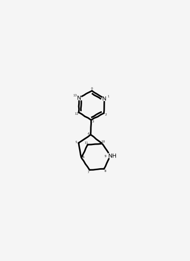 c1ncc(C2CC3CCNC2C3)cn1